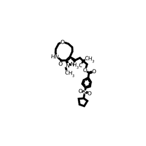 CCn1nc(CC(C)(C)COC(=O)c2ccc(S(=O)(=O)C3CCCC3)cc2)c2c1C(=O)NCCCOCCC2